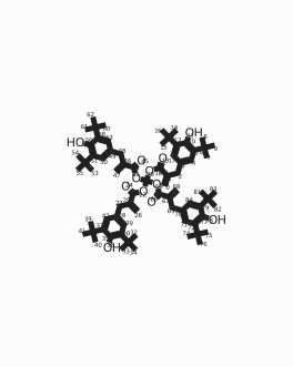 C=C(Cc1cc(C(C)(C)C)c(O)c(C(C)(C)C)c1)C(=O)OC(OC(=O)C(=C)Cc1cc(C(C)(C)C)c(O)c(C(C)(C)C)c1)(OC(=O)C(=C)Cc1cc(C(C)(C)C)c(O)c(C(C)(C)C)c1)OC(=O)C(=C)Cc1cc(C(C)(C)C)c(O)c(C(C)(C)C)c1